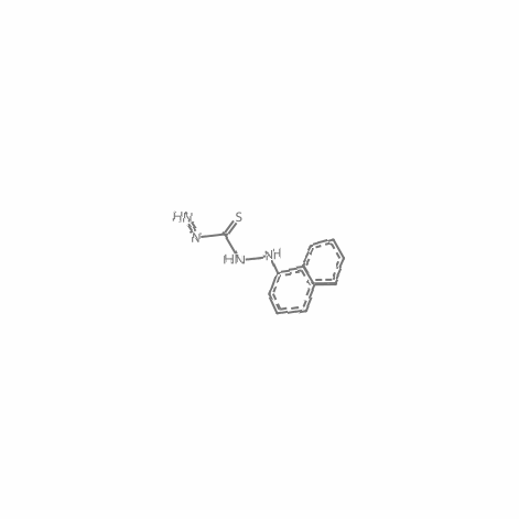 N=NC(=S)NNc1cccc2ccccc12